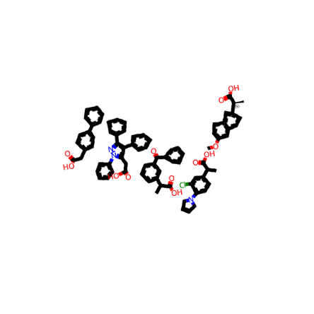 CC(C(=O)O)c1ccc(N2CC=CC2)c(Cl)c1.CC(C(=O)O)c1cccc(C(=O)c2ccccc2)c1.COc1ccc2cc([C@H](C)C(=O)O)ccc2c1.O=C(O)Cc1c(-c2ccccc2)c(-c2ccccc2)nn1-c1ccccc1.O=C(O)Cc1ccc(-c2ccccc2)cc1